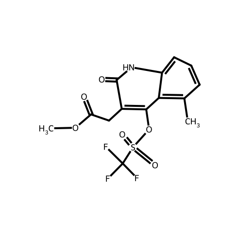 COC(=O)Cc1c(OS(=O)(=O)C(F)(F)F)c2c(C)cccc2[nH]c1=O